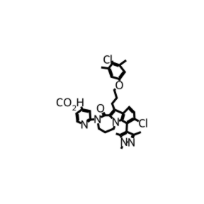 Cc1cc(OCCCc2c3n(c4c(-c5c(C)nn(C)c5C)c(Cl)ccc24)CCCN(c2cc(C(=O)O)ccn2)C3=O)cc(C)c1Cl